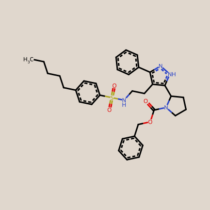 CCCCCc1ccc(S(=O)(=O)NCCc2c(-c3ccccc3)n[nH]c2C2CCCN2C(=O)OCc2ccccc2)cc1